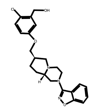 OCc1cc(OC[C@@H]2CC[C@H]3CN(c4noc5ccccc45)CCN3C2)ccc1Cl